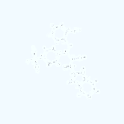 CS(=O)(=O)c1ccc(C(Cc2ccccc2F)C(=O)Nc2nc3ccccc3o2)cc1